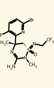 CN1C(N)=N[C@](C)(c2nc(Br)ccc2F)C[S@@]1(=O)=NCC(F)(F)F